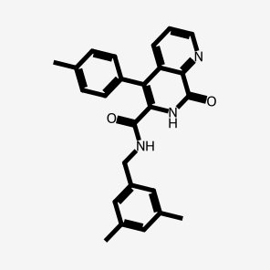 Cc1ccc(-c2c(C(=O)NCc3cc(C)cc(C)c3)[nH]c(=O)c3ncccc23)cc1